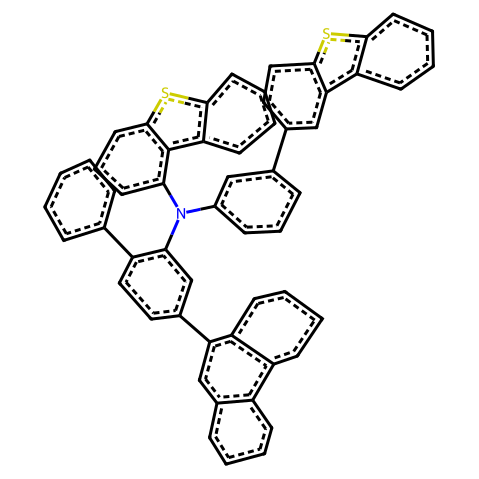 c1ccc(-c2ccc(-c3cc4ccccc4c4ccccc34)cc2N(c2cccc(-c3ccc4sc5ccccc5c4c3)c2)c2cccc3sc4ccccc4c23)cc1